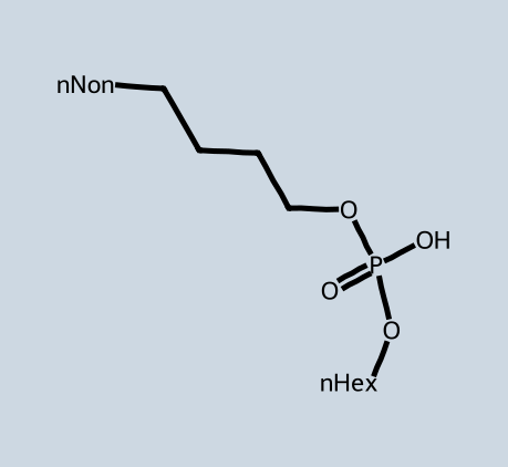 CCCCCCCCCCCCCOP(=O)(O)OCCCCCC